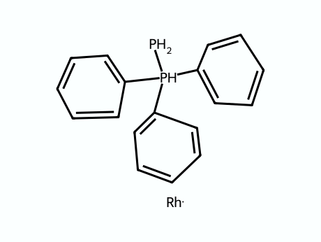 P[PH](c1ccccc1)(c1ccccc1)c1ccccc1.[Rh]